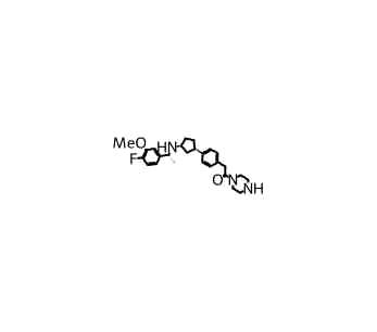 COc1cc([C@@H](C)N[C@H]2CC[C@@H](c3ccc(CC(=O)N4CCNCC4)cc3)C2)ccc1F